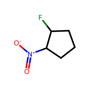 O=[N+]([O-])C1CCCC1F